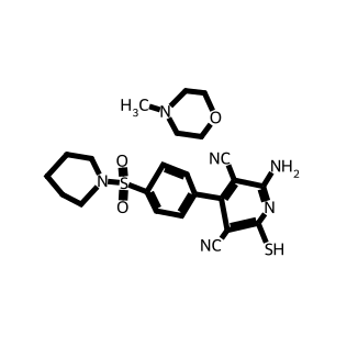 CN1CCOCC1.N#Cc1c(N)nc(S)c(C#N)c1-c1ccc(S(=O)(=O)N2CCCCC2)cc1